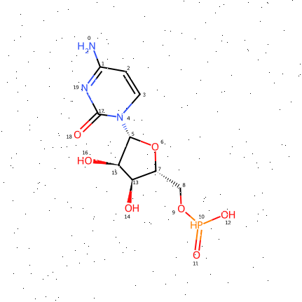 Nc1ccn([C@@H]2O[C@H](CO[PH](=O)O)[C@@H](O)[C@H]2O)c(=O)n1